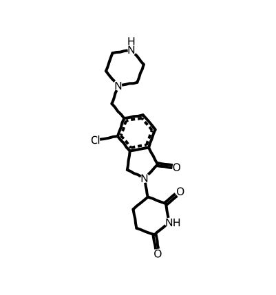 O=C1CCC(N2Cc3c(ccc(CN4CCNCC4)c3Cl)C2=O)C(=O)N1